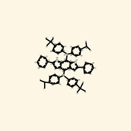 CC(C)c1ccc(N(c2ccc(C(C)(C)C)cc2)c2c3cc(-c4ccccc4)oc3c(N(c3ccc(C(C)C)cc3)c3ccc(C(C)(C)C)cc3)c3oc(-c4ccccc4)cc23)cc1